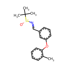 Cc1ccccc1Oc1cccc(/C=N/[S@+]([O-])C(C)(C)C)c1